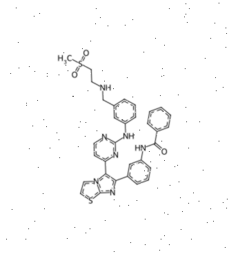 CS(=O)(=O)CCNCc1cccc(Nc2nccc(-c3c(-c4cccc(NC(=O)c5ccccc5)c4)nc4sccn34)n2)c1